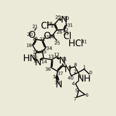 CCC1(NCC2CC2)CN(c2ncc(-c3n[nH]c4cc(OC)c(O[C@H](C)c5c(Cl)cncc5Cl)cc34)cc2C#N)C1.Cl